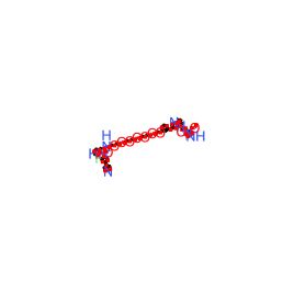 COC[C@H]1CN[C@H](C)CN1CC(=O)N1CC(C)(C)c2ncc(Cc3cccc(OCCOCCOCCOCCOCCOCCOCCN[C@H](Cc4cccc(F)c4)C(=O)Nc4ccc(-c5ccncc5)cc4)c3)cc21